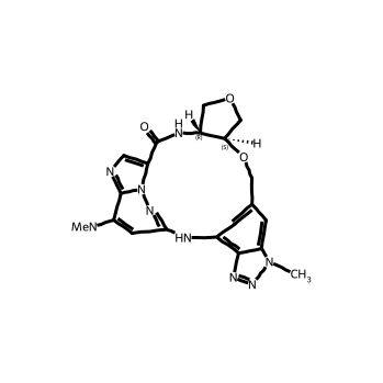 CNc1cc2nn3c(cnc13)C(=O)N[C@@H]1COC[C@H]1OCc1cc(c3nnn(C)c3c1)N2